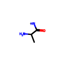 CC(N)C([NH])=O